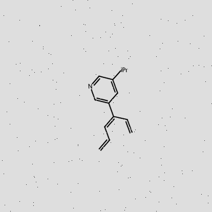 C=C/C=C(\C=C)c1cncc(C(C)C)c1